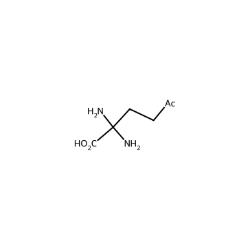 CC(=O)CCC(N)(N)C(=O)O